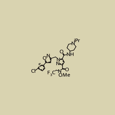 CON(CC(F)(F)F)C(=O)c1cc(C(=O)NC2CCN(C(C)C)CC2)n(Cc2cc(-c3ccc(Cl)s3)on2)n1